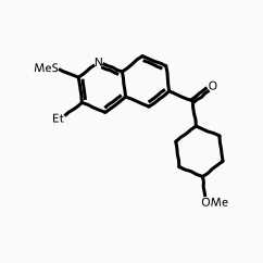 CCc1cc2cc(C(=O)C3CCC(OC)CC3)ccc2nc1SC